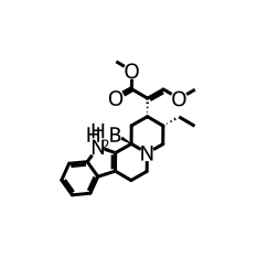 B[C@@]12C[C@H](/C(=C\OC)C(=O)OC)[C@H](CC)CN1CCc1c2[nH]c2ccccc12